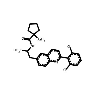 O=C(O)C(Cc1ccc2nc(-c3c(Cl)cccc3Cl)ccc2c1)NC(=O)C1([AsH2])CCCC1